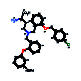 COc1cccc(Oc2ccccc2CN(CCC(N)C(=O)O)Cc2ccccc2OCc2ccc(Cl)cc2)c1